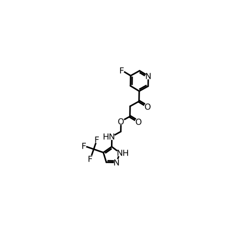 O=C(CC(=O)c1cncc(F)c1)OCNc1[nH]ncc1C(F)(F)F